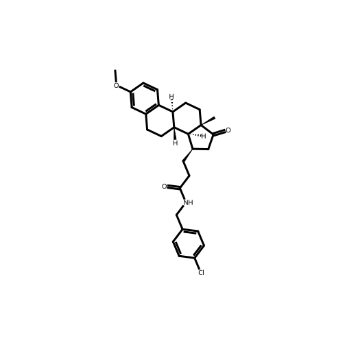 COc1ccc2c(c1)CC[C@H]1[C@@H]3[C@H](CCC(=O)NCc4ccc(Cl)cc4)CC(=O)[C@@]3(C)CC[C@H]21